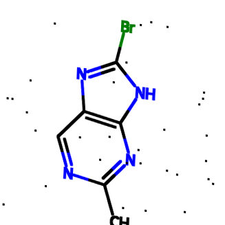 Cc1ncc2nc(Br)[nH]c2n1